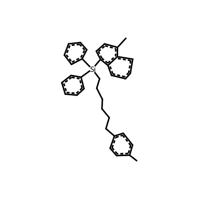 Cc1ccc(CCCCCC[Si](c2ccccc2)(c2ccccc2)c2ccc(C)c3ccccc23)cc1